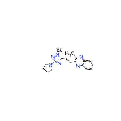 CCn1nc(N2CCCC2)nc1/C=C/c1nc2ccccc2nc1C